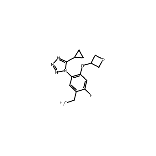 CCc1cc(-n2nnnc2C2CC2)c(OC2COC2)cc1F